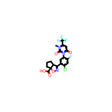 Cn1c(C(F)(F)F)cc(=O)n(-c2cc(C3=NOC4(C(=O)O)CCCC34)c(Cl)cc2F)c1=O